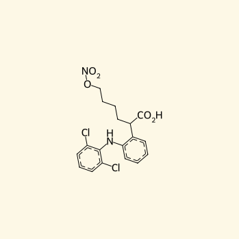 O=C(O)C(CCCCO[N+](=O)[O-])c1ccccc1Nc1c(Cl)cccc1Cl